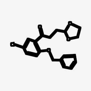 O=C(CCC1OCCO1)c1cc(Cl)ccc1OCc1ccccc1